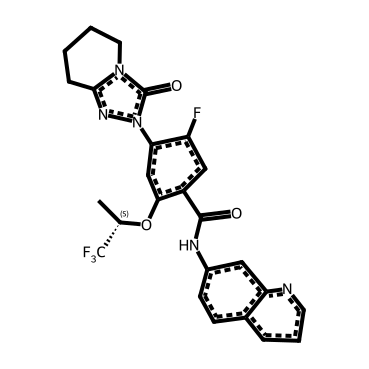 C[C@H](Oc1cc(-n2nc3n(c2=O)CCCC3)c(F)cc1C(=O)Nc1ccc2cccnc2c1)C(F)(F)F